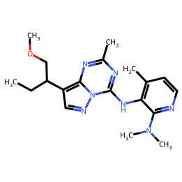 CCC(COC)c1cnn2c(Nc3c(C)ccnc3N(C)C)nc(C)nc12